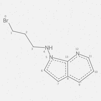 BrCCCNn1ccc2[c]ccnc21